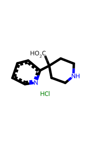 Cl.O=C(O)C1(c2ccccn2)CCNCC1